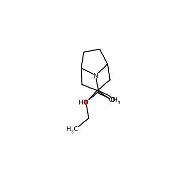 CCOC(=O)N1C2CCC1CC(C)(O)C2